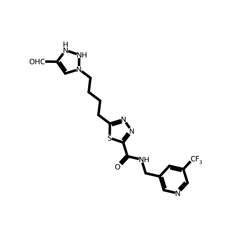 O=CC1=CN(CCCCc2nnc(C(=O)NCc3cncc(C(F)(F)F)c3)s2)NN1